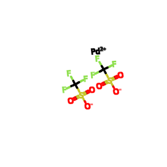 O=S(=O)([O-])C(F)(F)F.O=S(=O)([O-])C(F)(F)F.[Pd+2]